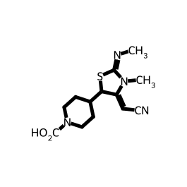 CN=C1SC(C2CCN(C(=O)O)CC2)C(=CC#N)N1C